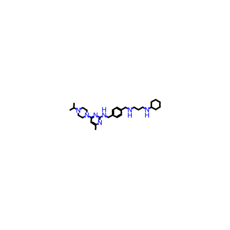 Cc1cc(N2CCN(C(C)C)CC2)nc(NCc2ccc(CNCCCNC3CCCCC3)cc2)n1